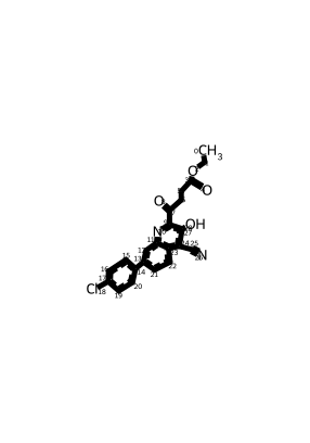 CCOC(=O)CCC(=O)c1nc2cc(-c3ccc(Cl)cc3)ccc2c(C#N)c1O